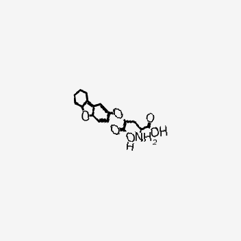 N[C@@H](CC(OC1=CC2=C3CCCCC3OC2C=C1)C(=O)O)C(=O)O